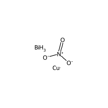 O=[N+]([O-])[O-].[BiH3].[Cu]